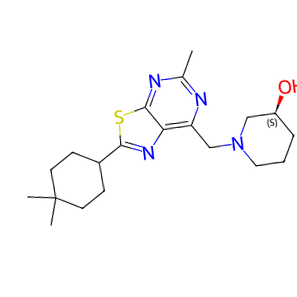 Cc1nc(CN2CCC[C@H](O)C2)c2nc(C3CCC(C)(C)CC3)sc2n1